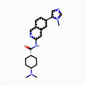 Cn1cncc1-c1ccc2cnc(NC(=O)[C@H]3CC[C@H](N(C)C)CC3)cc2c1